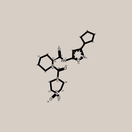 O=C(Nc1cc(C2CCCC2)no1)[C@@H]1CCCCN1C(=O)N1CCS(=O)(=O)CC1